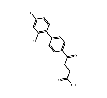 O=C(O)CCC(=O)c1ccc(-c2ccc(F)cc2Cl)cc1